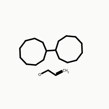 C1CCCCC(C2CCCCCCCC2)CCC1.C=CC[O]